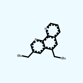 CC(C)(C)Cc1cnc2c(c1)c(CC(C)(C)C)cc1cccnc12